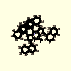 FB(F)n1c(-c2cccc3ccccc23)cc(-c2cccc3ccccc23)c1/C(=C1\N=C(c2cccc3ccccc23)C=C1c1cccc2ccccc12)c1cccc2ccccc12